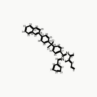 C=C/C=C(\C)C(=C)/N=C(\N=C\c1ccccc1)c1ccc(C(C)(C)c2ccc(-c3ccc4ccccc4c3)cc2)cc1